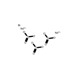 [Bi].[Nd+3].[Nd+3].[O]=[Ti]([O-])[O-].[O]=[Ti]([O-])[O-].[O]=[Ti]([O-])[O-]